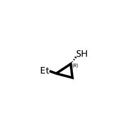 CCC1C[C@H]1S